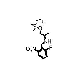 CC(CO[Si](C)(C)C(C)(C)C)NCc1c(F)cccc1[N+](=O)[O-]